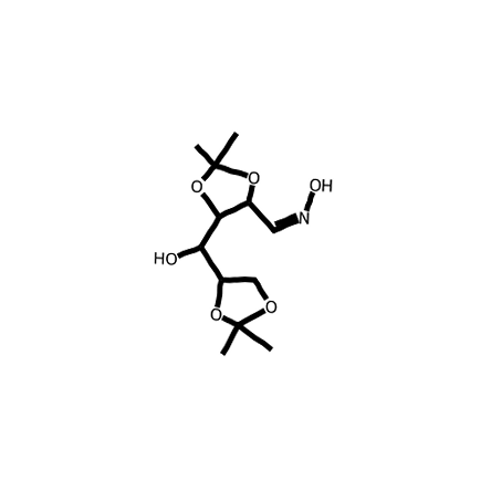 CC1(C)OCC(C(O)C2OC(C)(C)OC2/C=N\O)O1